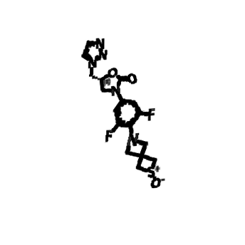 O=C1O[C@@H](Cn2ccnn2)CN1c1cc(F)c(N2CC3(C2)C[S+]([O-])C3)c(F)c1